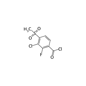 CS(=O)(=O)c1ccc(C(=O)Cl)c(F)c1Cl